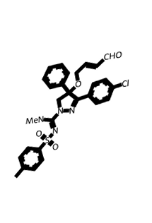 CN/C(=N\S(=O)(=O)c1ccc(C)cc1)N1CC(OC/C=C/C=O)(c2ccccc2)C(c2ccc(Cl)cc2)=N1